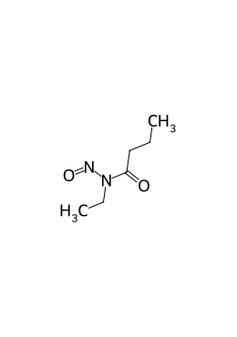 CCCC(=O)N(CC)N=O